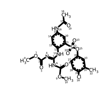 COC(=O)N=C(NC(=O)OC)Nc1ccc(NC(C)=O)cc1S(=O)(=O)Oc1ccc(Cl)c(C)c1